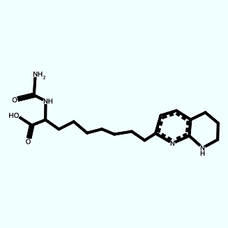 NC(=O)NC(CCCCCCCc1ccc2c(n1)NCCC2)C(=O)O